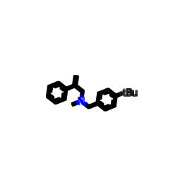 C=C(CN(C)Cc1ccc(C(C)(C)C)cc1)c1ccccc1